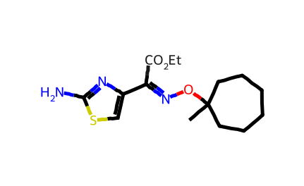 CCOC(=O)/C(=N\OC1(C)CCCCCC1)c1csc(N)n1